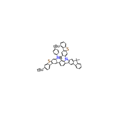 CC(C)(C)c1ccc(N2B3c4cc5c(cc4-n4c6cc7c(cc6c6ccc(c3c64)-c3cc4c(cc32)sc2cc(C(C)(C)C)ccc24)-c2ccccc2C7(C)C)sc2ccccc25)cc1